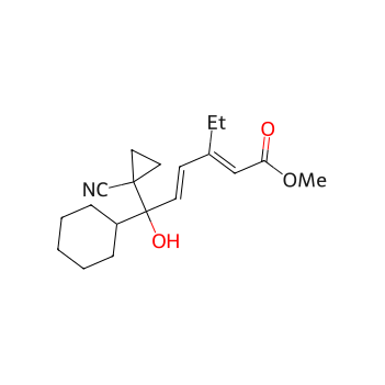 CCC(C=CC(O)(C1CCCCC1)C1(C#N)CC1)=CC(=O)OC